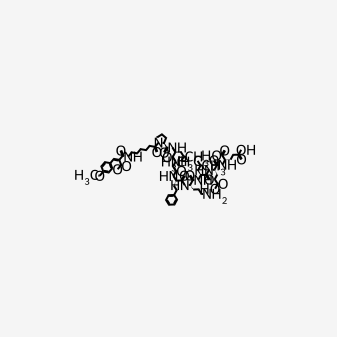 COc1ccc2cc(C(=O)NCCCCCC(=O)N3CCC[C@H]3C(=O)N[C@@H](CC(C)C)C(=O)NCC(=O)N[C@@H](CCc3ccccc3)C(=O)N[C@@H](CCCN)C(=O)N[C@@H](CC(C)C)C(=O)N[C@@H](CCC(=O)O)C(=O)N[C@@H](CCC(=O)O)C(=O)O)c(=O)oc2c1